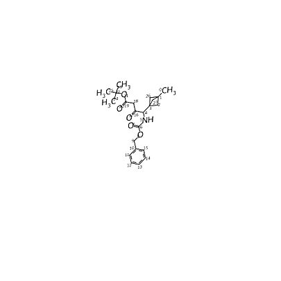 CC12CC(C(NC(=O)OCc3ccccc3)C(=O)CC(=O)OC(C)(C)C)(C1)C2